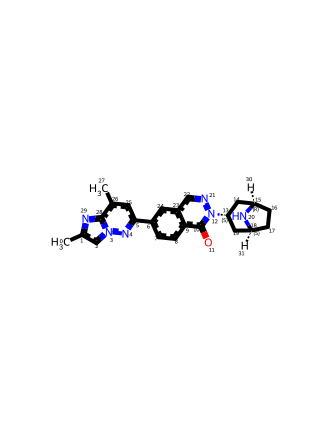 Cc1cn2nc(-c3ccc4c(=O)n([C@@H]5C[C@H]6CC[C@@H](C5)N6)ncc4c3)cc(C)c2n1